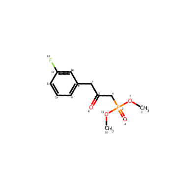 COP(=O)(CC(=O)Cc1cccc(F)c1)OC